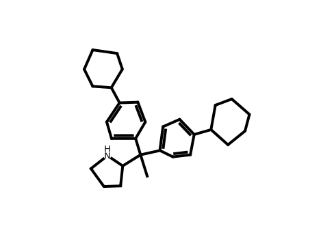 CC(c1ccc(C2CCCCC2)cc1)(c1ccc(C2CCCCC2)cc1)C1CCCN1